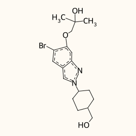 CC(C)(O)COc1cc2nn(C3CCC(CO)CC3)cc2cc1Br